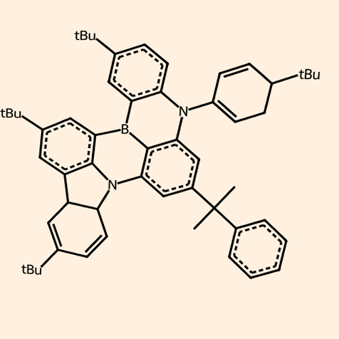 CC(C)(C)C1=CC2c3cc(C(C)(C)C)cc4c3N(c3cc(C(C)(C)c5ccccc5)cc5c3B4c3cc(C(C)(C)C)ccc3N5C3=CCC(C(C)(C)C)C=C3)C2C=C1